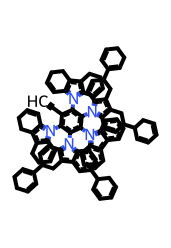 C#Cc1c(-n2c3c(c4c2C=CCC4)CCC=C3)c(-n2c3c(c4c2C=CC(C2C=CC=CC2)C4)CC(C2=CCCC=C2)C=C3)c(-n2c3ccccc3c3ccccc32)c(-n2c3c(c4cc(C5C=CC=CC5)ccc42)CC(C2=CCCC=C2)C=C3)c1-n1c2c(c3c1C=CCC3)CCC=C2